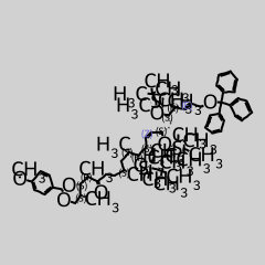 COc1ccc(C2OC[C@H](C)[C@@H]([C@@H](C)C(=O)CC[C@H](C)C[C@H](C)[C@@H](O[Si](C)(C)C(C)(C)C)[C@@H](C)/C=C\[C@H](C[C@H](O[Si](C)(C)C(C)(C)C)[C@H](C)/C=C/COC(c3ccccc3)(c3ccccc3)c3ccccc3)O[Si](C)(C)C(C)(C)C)O2)cc1